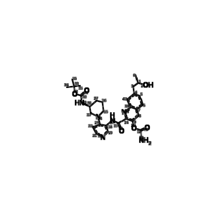 CC(O)Cc1ccc2cc(OC(N)=O)c(C(=O)Nc3cnccc3N3CCC[C@H](NC(=O)OC(C)(C)C)C3)nc2c1